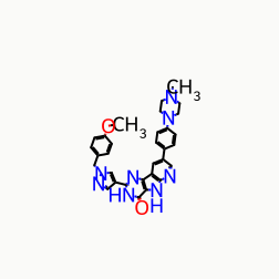 COc1ccc(Cn2cc(-c3nc4c([nH]c5ncc(-c6ccc(N7CCN(C)CC7)cc6)cc54)c(=O)[nH]3)cn2)cc1